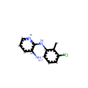 Cc1c(Cl)cccc1Nc1ncccc1N